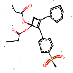 CCC(=O)OC1(OC(=O)CC)CC(c2ccccc2)=C1c1ccc(S(C)(=O)=O)cc1